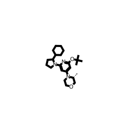 C[C@@H]1COCCN1c1cc(OC(C)(C)C)nc(N2CCCC2C2CCCCC2)c1